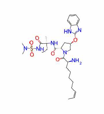 C/C=C\CCCCC[C@H](N)C(=O)N1C[C@H](Oc2nc3ccccc3[nH]2)C[C@H]1C(=O)N[C@@](C)(CC)C(=O)NS(=O)(=O)N(C)C